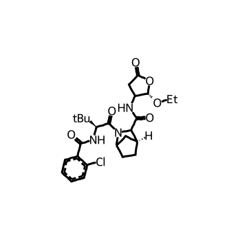 CCO[C@H]1OC(=O)CC1NC(=O)C1[C@H]2CCC(C2)N1C(=O)[C@@H](NC(=O)c1ccccc1Cl)C(C)(C)C